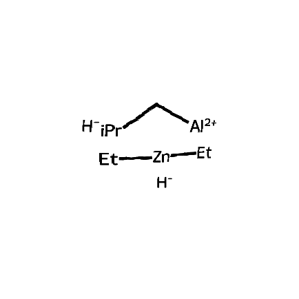 CC(C)[CH2][Al+2].C[CH2][Zn][CH2]C.[H-].[H-]